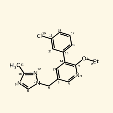 CCOc1ncc(Cn2cnc(C)n2)cc1-c1cccc(Cl)c1